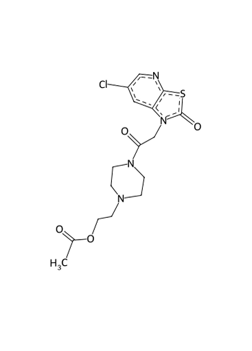 CC(=O)OCCN1CCN(C(=O)Cn2c(=O)sc3ncc(Cl)cc32)CC1